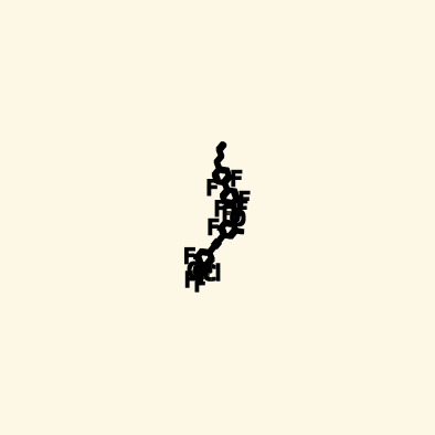 C=CCCc1cc(F)c(-c2cc(F)c(C(F)(F)Oc3cc(F)c(C#Cc4cc(F)c(OC(F)(F)F)c(Cl)c4)cc3C)c(F)c2)c(F)c1